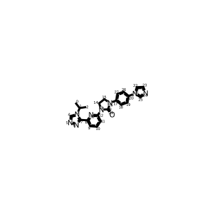 CC(C)n1cnnc1-c1cccc(N2CCN(c3ccc(-n4ccnc4)cc3)C2=O)n1